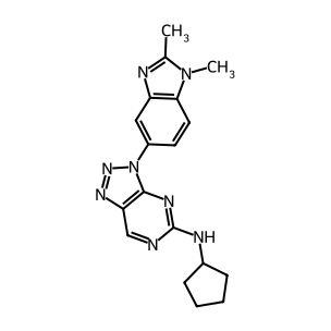 Cc1nc2cc(-n3nnc4cnc(NC5CCCC5)nc43)ccc2n1C